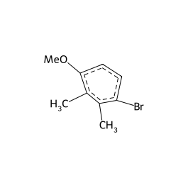 COc1ccc(Br)c(C)c1C